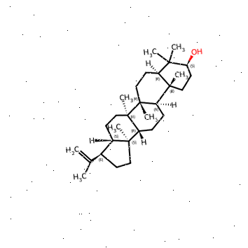 C=C(C)[C@@H]1CC[C@]2(C)[C@H]3CC[C@@H]4[C@@]5(C)CC[C@H](O)C(C)(C)[C@@H]5CC[C@@]4(C)[C@]3(C)CC[C@@H]12